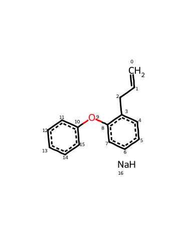 C=CCc1ccccc1Oc1ccccc1.[NaH]